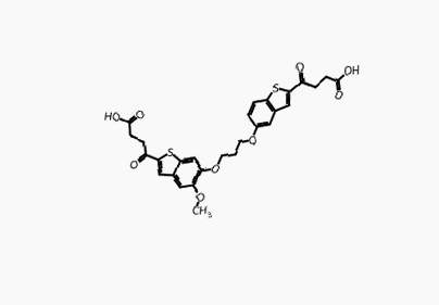 COc1cc2cc(C(=O)CCC(=O)O)sc2cc1OCCCOc1ccc2sc(C(=O)CCC(=O)O)cc2c1